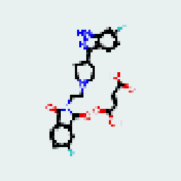 O=C(O)C=CC(=O)O.O=C1c2ccc(F)cc2C(=O)N1CCN1CCC(c2n[nH]c3cc(F)ccc23)CC1